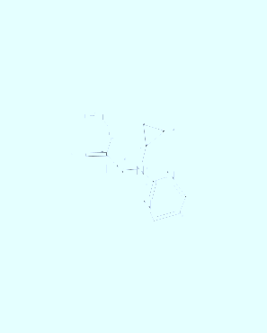 CC(C)(C)OC(=O)NN(c1ncccn1)C1CC1